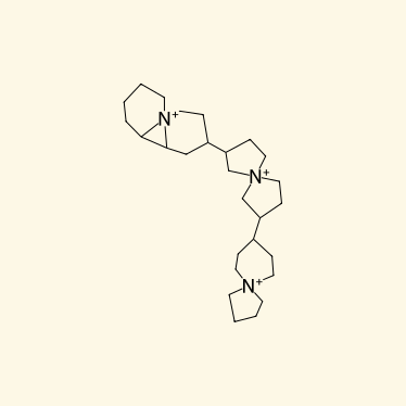 C1CC[N+]23CCC(C4CC[N+]5(CCC(C6CC[N+]7(CCCC7)CC6)C5)C4)CC2C3C1